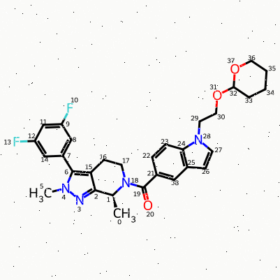 C[C@H]1c2nn(C)c(-c3cc(F)cc(F)c3)c2CCN1C(=O)c1ccc2c(ccn2CCOC2CCCCO2)c1